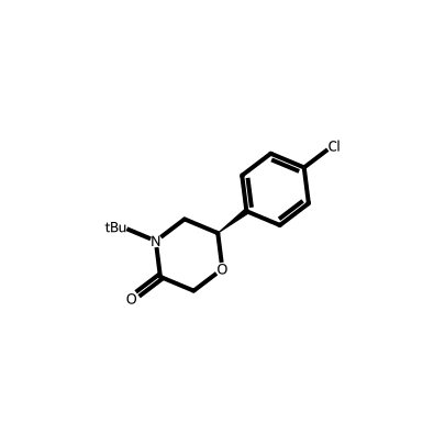 CC(C)(C)N1C[C@@H](c2ccc(Cl)cc2)OCC1=O